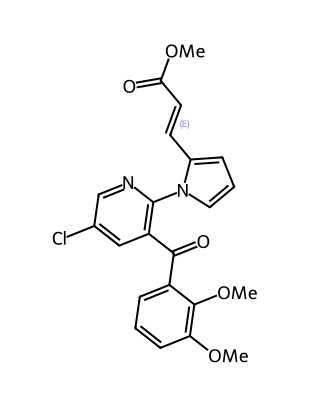 COC(=O)/C=C/c1cccn1-c1ncc(Cl)cc1C(=O)c1cccc(OC)c1OC